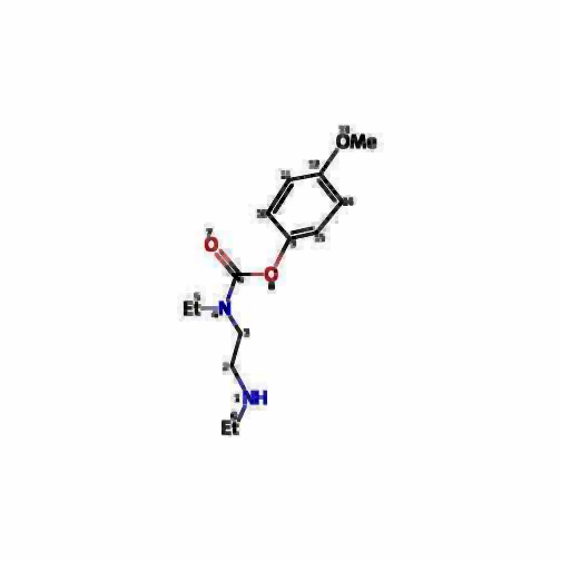 CCNCCN(CC)C(=O)Oc1ccc(OC)cc1